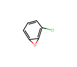 Clc1cccc2c1O2